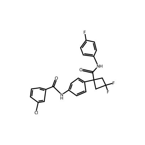 O=C(Nc1ccc(C2(C(=O)Nc3ccc(F)cc3)CC(F)(F)C2)cc1)c1cccc(Cl)c1